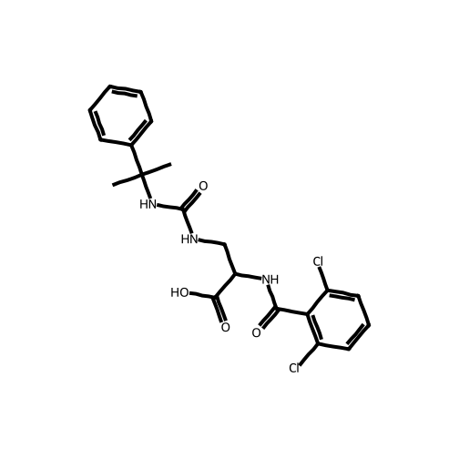 CC(C)(NC(=O)NCC(NC(=O)c1c(Cl)cccc1Cl)C(=O)O)c1ccccc1